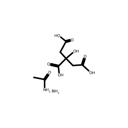 CC(N)=O.O=C(O)CC(O)(CC(=O)O)C(=O)O.[BiH3]